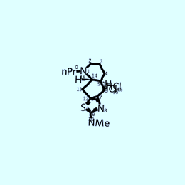 CCCN1CCC[C@H]2Cc3nc(NC)sc3C[C@@H]21.Cl.Cl